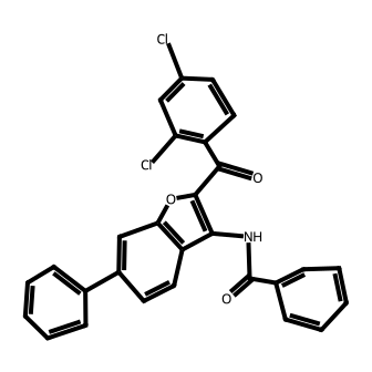 O=C(Nc1c(C(=O)c2ccc(Cl)cc2Cl)oc2cc(-c3ccccc3)ccc12)c1ccccc1